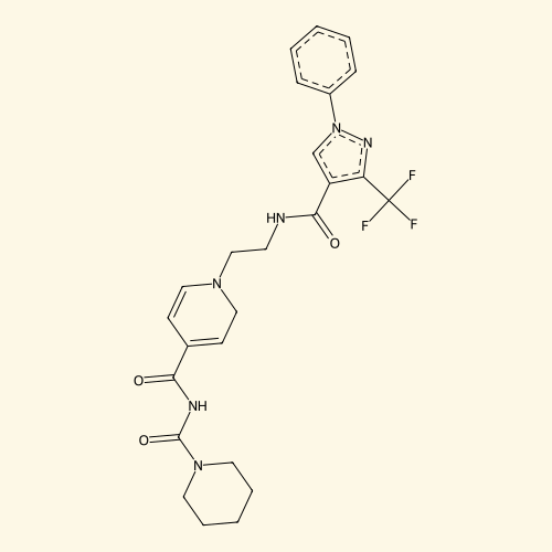 O=C(NC(=O)N1CCCCC1)C1=CCN(CCNC(=O)c2cn(-c3ccccc3)nc2C(F)(F)F)C=C1